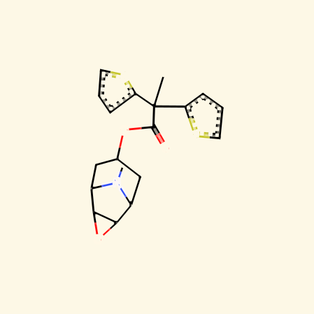 CN1C2CC(OC(=O)C(C)(c3cccs3)c3cccs3)CC1C1OC12